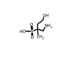 CC(CN)(CCO)S(=O)(=O)O